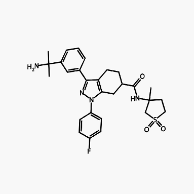 CC1(NC(=O)C2CCc3c(-c4cccc(C(C)(C)N)c4)nn(-c4ccc(F)cc4)c3C2)CCS(=O)(=O)C1